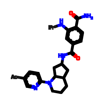 CC(=O)c1ccc(N2CCCC3CC(NC(=O)c4ccc(C(N)=O)c(NC(C)C)c4)CC32)nc1